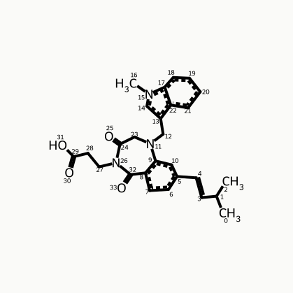 CC(C)C=Cc1ccc2c(c1)N(Cc1cn(C)c3ccccc13)CC(=O)N(CCC(=O)O)C2=O